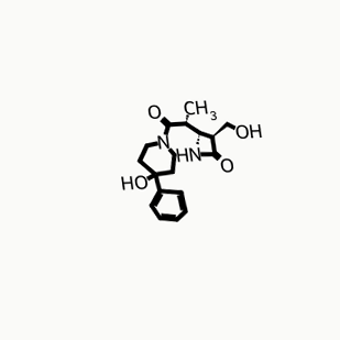 C[C@@H](C(=O)N1CCC(O)(c2ccccc2)CC1)[C@H]1NC(=O)[C@@H]1CO